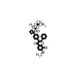 COc1ccc2c(=O)c(-c3ccc(C4(NC(=O)OC(C)(C)C)CCC4)cc3)c(-c3ccccc3)oc2c1Br